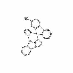 N#Cc1ccc2c(c1)C1(c3ccccc3-2)c2ccccc2-n2c3ccccc3c3cccc1c32